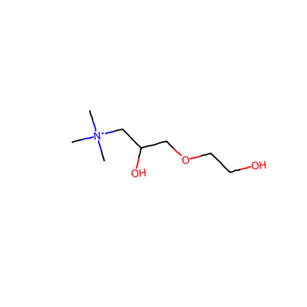 C[N+](C)(C)CC(O)COCCO